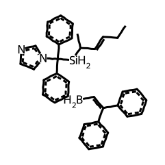 BC=C(c1ccccc1)c1ccccc1.CCC=CC(C)[SiH2]C(c1ccccc1)(c1ccccc1)n1ccnc1